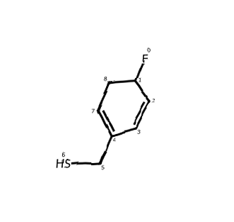 FC1C=CC(CS)=CC1